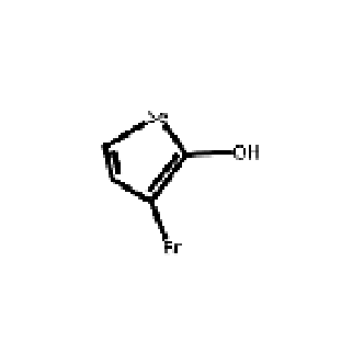 Oc1[se]ccc1Br